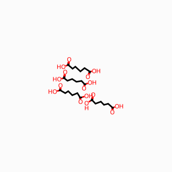 O=C(O)CCCCC(=O)O.O=C(O)CCCCC(=O)O.O=C(O)CCCCC(=O)O.O=C(O)CCCCC(=O)O